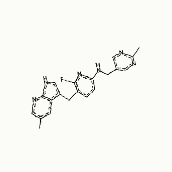 Cc1cnc2[nH]cc(Cc3ccc(NCc4cnc(C)nc4)nc3F)c2c1